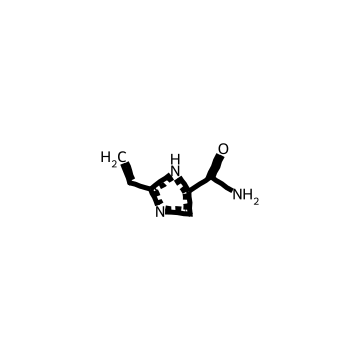 C=Cc1ncc(C(N)=O)[nH]1